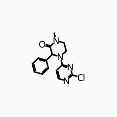 CN1CCN(c2ccnc(Cl)n2)C(c2ccccc2)C1=O